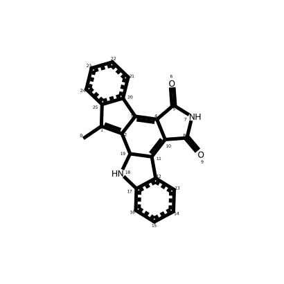 CC1=C2C(=C3C(=O)NC(=O)C3=C3c4ccccc4NC23)c2ccccc21